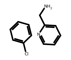 Clc1ccccc1.NCc1ccccn1